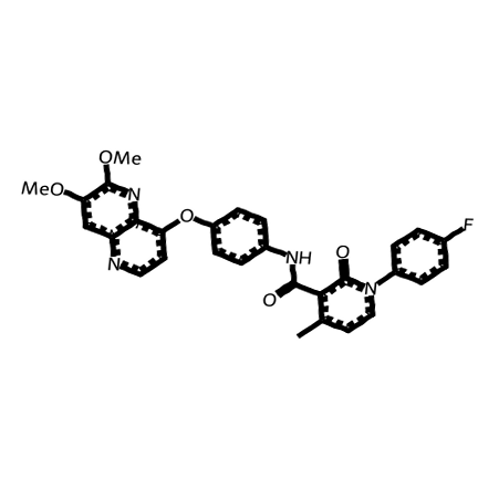 COc1cc2nccc(Oc3ccc(NC(=O)c4c(C)ccn(-c5ccc(F)cc5)c4=O)cc3)c2nc1OC